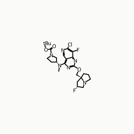 CN(c1nc(OC[C@@]23CCCN2C[C@H](F)C3)nc2c(F)c(Cl)ncc12)[C@@H]1CCN(C(=O)OC(C)(C)C)C1